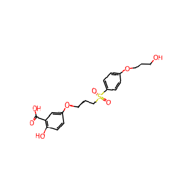 O=C(O)c1cc(OCCCS(=O)(=O)c2ccc(OCCCO)cc2)ccc1O